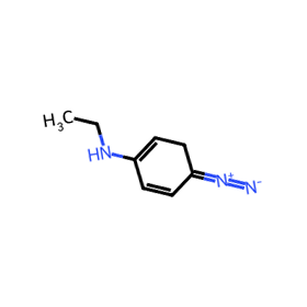 CCNC1=CCC(=[N+]=[N-])C=C1